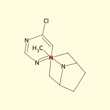 CN1CC2CCC(C1)N2c1cc(Cl)ncn1